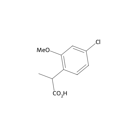 COc1cc(Cl)ccc1C(C)C(=O)O